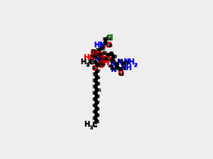 CCCCCCCCCCCCCCCCCCOC(=O)[C@H](C)N(P(=O)(O)OCCNC(=O)CCl)P(=O)(O)OC[C@@H]1CC[C@H](n2cnc3c(=O)[nH]c(N)nc32)O1